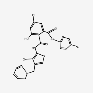 O=C(Nc1ccc(Cl)cn1)c1cc(Cl)cc(O)c1C(=O)Nc1scc(CN2C=CC=CC2)c1Cl